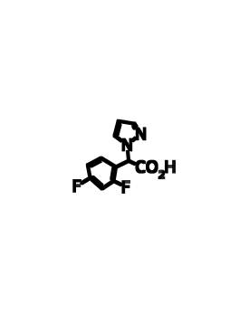 O=C(O)C(c1ccc(F)cc1F)n1cccn1